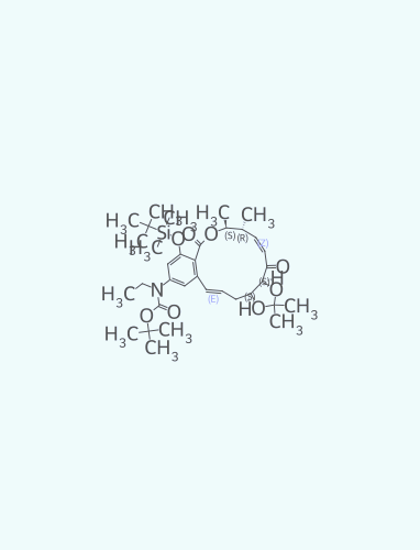 CCN(C(=O)OC(C)(C)C)c1cc2c(c(O[Si](C)(C)C(C)(C)C)c1)C(=O)O[C@@H](C)[C@H](C)/C=C\C(=O)[C@H]1OC(C)(C)O[C@H]1C/C=C/2